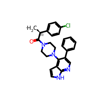 [CH2][C@H](C(=O)N1CCN(c2c(-c3ccccc3)cnc3[nH]ccc23)CC1)c1ccc(Cl)cc1